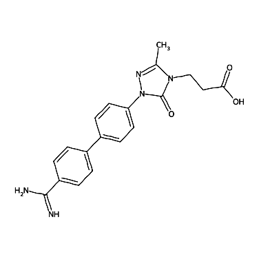 Cc1nn(-c2ccc(-c3ccc(C(=N)N)cc3)cc2)c(=O)n1CCC(=O)O